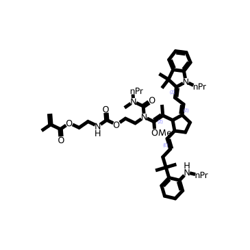 C=C(C)C(=O)OCCNC(=O)OCCN(C(=O)N(C)CCC)/C(OC)=C(\C)C1/C(=C\C=C2/N(CCC)c3ccccc3C2(C)C)CCC1/C=C/CC(C)(C)C1=CCCC=C1NCCC